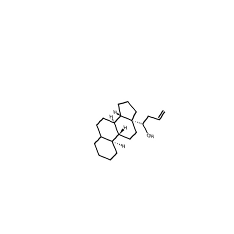 C=CCC(O)[C@@]12CCC[C@H]1[C@@H]1CCC3CCCC[C@@H]3[C@H]1CC2